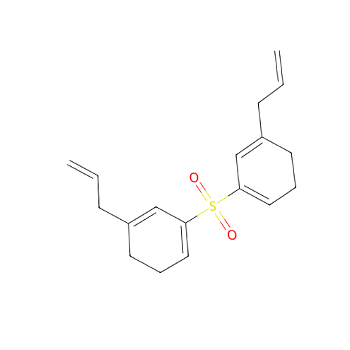 C=CCC1=CC(S(=O)(=O)C2=CCCC(CC=C)=C2)=CCC1